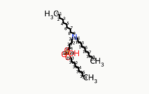 CCCCCCCCCCN(CCCCCCCCCC)CCCCOP(=O)(O)OCCCCCCCCC